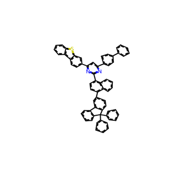 c1ccc(-c2ccc(-c3cc(-c4ccc5c(c4)sc4ccccc45)nc(-c4ccc(-c5ccc6c(c5)-c5ccccc5C6(c5ccccc5)c5ccccc5)c5ccccc45)n3)cc2)cc1